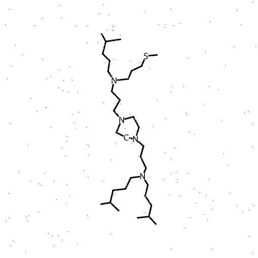 CSCCCN(CCCC(C)C)CCCN1CCN(CCCN(CCCC(C)C)CCCC(C)C)CC1